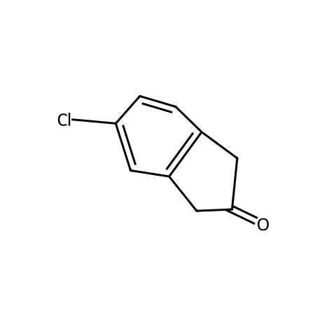 O=C1Cc2ccc(Cl)cc2C1